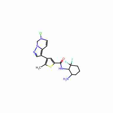 Cc1sc(C(=O)NC2C(N)CCCC2(F)F)cc1-c1cnn2c1C=CN(Cl)C2